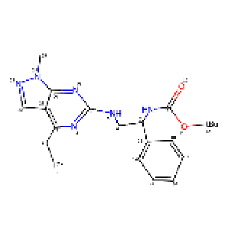 CC(C)Cc1nc(NCC(NC(=O)OC(C)(C)C)c2ccccc2)nc2c1cnn2C